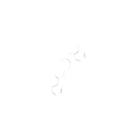 CCc1cccc2c(CCNC(=O)c3ccccc3OC)c(C)[nH]c12